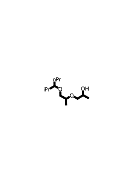 CCCC(OCC(C)OCC(C)O)C(C)C